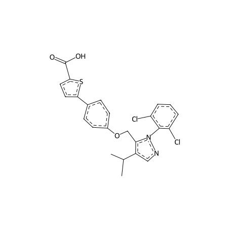 CC(C)c1cnn(-c2c(Cl)cccc2Cl)c1COc1ccc(-c2ccc(C(=O)O)s2)cc1